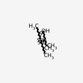 CC(C)CCCCCCC(O)=S.CCCCCCC[CH2][Sn][CH2]CCCCCCC.SS